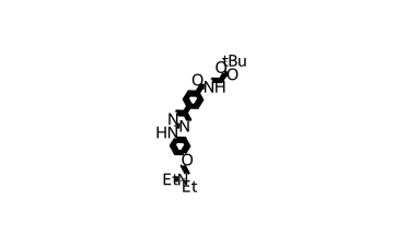 CCN(CC)CCOc1ccc(Nc2ncc(-c3ccc(C(=O)NCCC(=O)OC(C)(C)C)cc3)cn2)cc1